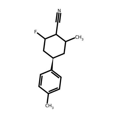 Cc1ccc([C@@H]2CC(C)C(C#N)C(F)C2)cc1